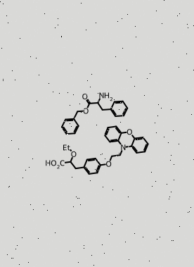 CCOC(Cc1ccc(OCCN2c3ccccc3Oc3ccccc32)cc1)C(=O)O.NC(Cc1ccccc1)C(=O)OCc1ccccc1